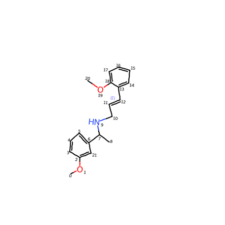 COc1cccc(C(C)NC/C=C/c2ccccc2OC)c1